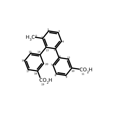 Cc1cccc(-c2cccc(C(=O)O)c2)c1-c1cccc(C(=O)O)c1